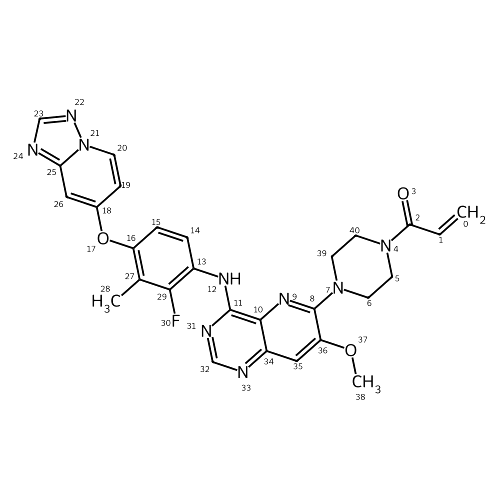 C=CC(=O)N1CCN(c2nc3c(Nc4ccc(Oc5ccn6ncnc6c5)c(C)c4F)ncnc3cc2OC)CC1